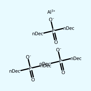 CCCCCCCCCCP(=O)([O-])CCCCCCCCCC.CCCCCCCCCCP(=O)([O-])CCCCCCCCCC.CCCCCCCCCCP(=O)([O-])CCCCCCCCCC.[Al+3]